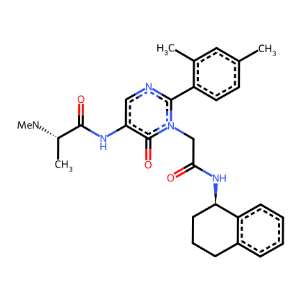 CN[C@@H](C)C(=O)Nc1cnc(-c2ccc(C)cc2C)n(CC(=O)N[C@@H]2CCCc3ccccc32)c1=O